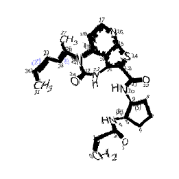 C=CC(=O)N[C@@H]1CCC[C@@H]1NC(=O)c1sc2nccc3c2c1NC(=O)N3/C(C)=C/C=C\C